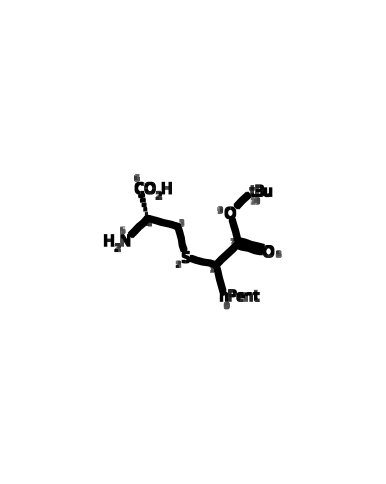 CCCCCC(SC[C@H](N)C(=O)O)C(=O)OC(C)(C)C